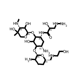 CN[C@@H]1C(O)[C@@H](OC2C(O)C(O[C@H]3O[C@H](CNCCO)CCC3N)[C@@H](N)C[C@H]2NC(=O)[C@@H](O)CNN)OCC1(C)O